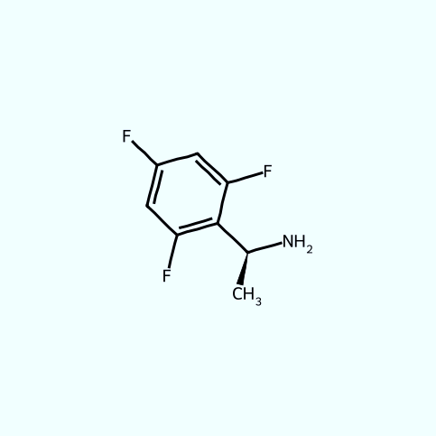 C[C@H](N)c1c(F)cc(F)cc1F